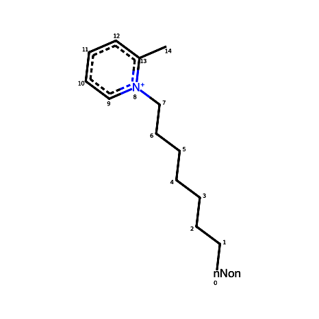 CCCCCCCCCCCCCCCC[n+]1ccccc1C